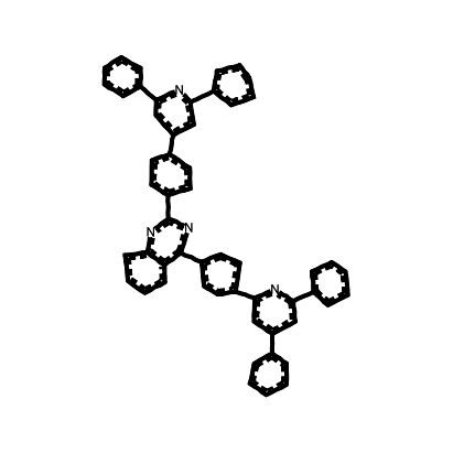 c1ccc(-c2cc(-c3ccccc3)nc(-c3ccc(-c4nc(-c5ccc(-c6cc(-c7ccccc7)nc(-c7ccccc7)c6)cc5)nc5ccccc45)cc3)c2)cc1